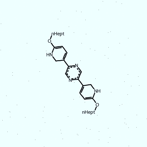 CCCCCCCOC1=CC=C(c2cnc(C3=CC=C(OCCCCCCC)NC3)cn2)CN1